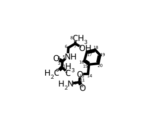 C=C(C)C(=O)NCC(C)O.NC(=O)OCc1ccccc1